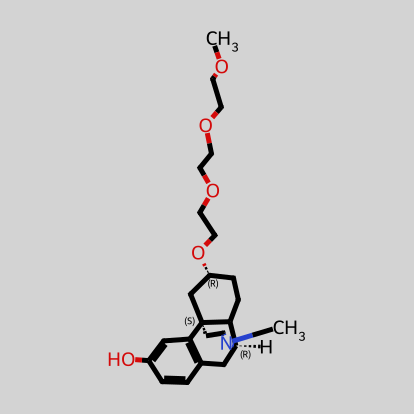 COCCOCCOCCO[C@@H]1CCC2[C@H]3Cc4ccc(O)cc4[C@@]2(CCN3C)C1